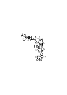 CC(=O)C(=O)NCC#Cc1ccc2ncnc(Nc3ccc(Oc4cccnc4C)c(C)c3)c2c1